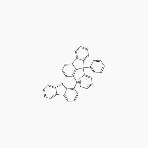 c1ccc(C2(c3ccccc3)c3ccccc3-c3cccc(Nc4cccc5c4oc4ccccc45)c32)cc1